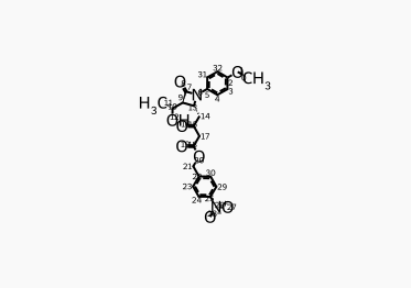 COc1ccc(N2C(=O)[C@H]([C@@H](C)O)[C@H]2CC(=O)CC(=O)OCc2ccc([N+](=O)[O-])cc2)cc1